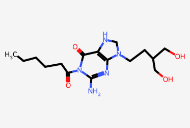 CCCCCC(=O)n1c(N)nc2c(c1=O)NCN2CCC(CO)CO